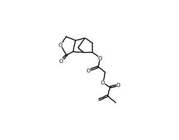 C=C(C)C(=O)OCC(=O)OC1CC2CC1C1C(=O)OCC21